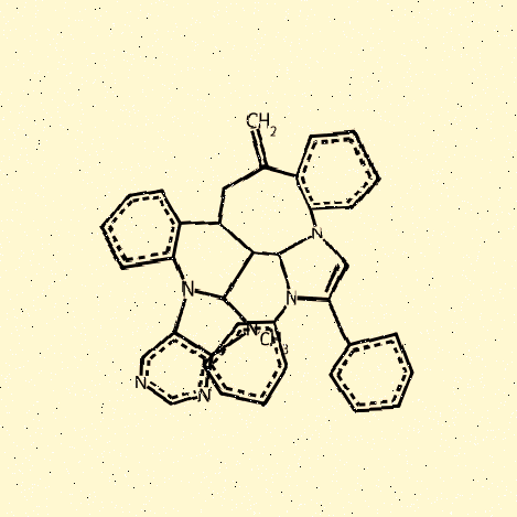 C=C1CC2c3ccccc3N3c4cncnc4N(C)C3C2C2N(C=C(c3ccccc3)N2c2ccccc2)c2ccccc21